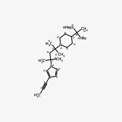 CC#Cc1cnn(C(C)(C)CC(C)(C)N2CCC(C(C)(CCCC)CCCCCCC)CC2)c1